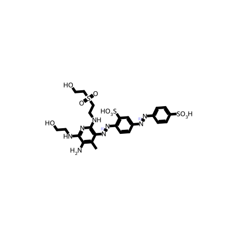 Cc1c(N)c(NCCO)nc(NCCS(=O)(=O)CCO)c1/N=N/c1ccc(/N=N/c2ccc(S(=O)(=O)O)cc2)cc1S(=O)(=O)O